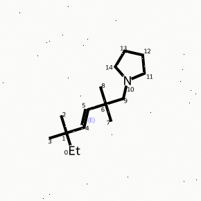 CCC(C)(C)/C=C/C(C)(C)CN1CCCC1